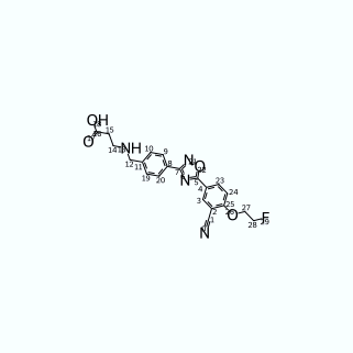 N#Cc1cc(-c2nc(-c3ccc(CNCCC(=O)O)cc3)no2)ccc1OCCF